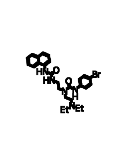 CCN(CC)CCN(CCNC(=O)Nc1cccc2ccccc12)C(=O)Nc1ccc(Br)cc1